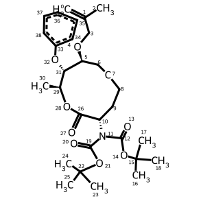 C=C(C)CO[C@H]1CCCC[C@H](N(C(=O)OC(C)(C)C)C(=O)OC(C)(C)C)C(=O)O[C@@H](C)[C@@H]1Oc1ccccc1